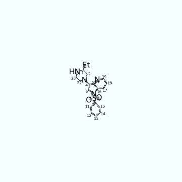 CC[C@H]1CN(c2cn(S(=O)(=O)c3ccccc3)c3cccnc23)CCN1